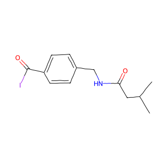 CC(C)CC(=O)NCc1ccc(C(=O)I)cc1